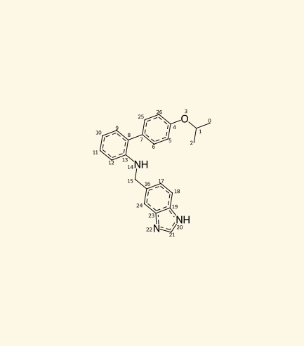 CC(C)Oc1ccc(-c2ccccc2NCc2ccc3[nH]cnc3c2)cc1